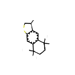 CC1CSc2cc3c(cc21)C(C)(C)CCC3(C)C